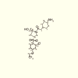 NC1CCC(CC(=O)N2C[C@H](S(=O)(=O)c3ccc(OCC(F)(F)F)cc3Cl)C[C@H]2C(=O)O)CC1